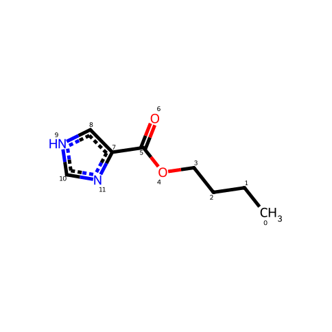 CCCCOC(=O)c1c[nH]cn1